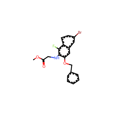 COC(=O)CNc1c(OCc2ccccc2)cc2cc(Br)ccc2c1F